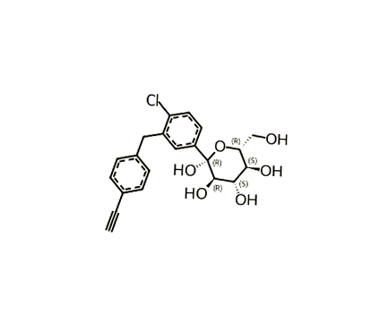 C#Cc1ccc(Cc2cc([C@@]3(O)O[C@H](CO)[C@@H](O)[C@H](O)[C@H]3O)ccc2Cl)cc1